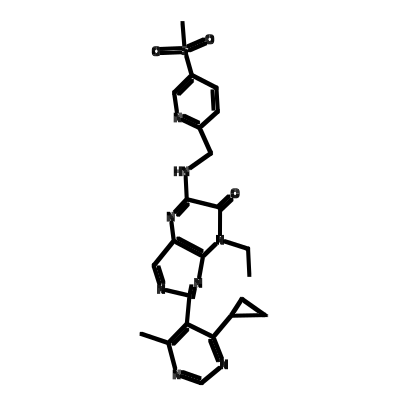 CCn1c(=O)c(NCc2ccc(S(C)(=O)=O)cn2)nc2cnc(-c3c(C)ncnc3C3CC3)nc21